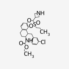 CCCS(=O)(=O)C(Oc1ccc2c(c1)C(Cc1cccc(Cl)c1)C(NC(=O)OCC)CC2)C1CNC1